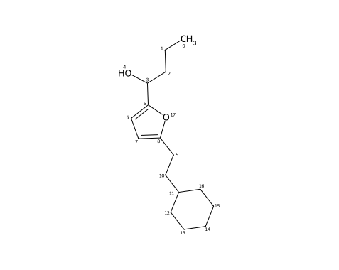 CCCC(O)c1ccc(CCC2CCCCC2)o1